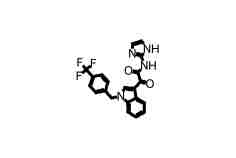 O=C(Nc1ncc[nH]1)C(=O)c1cn(Cc2ccc(C(F)(F)F)cc2)c2ccccc12